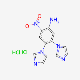 Cl.Cl.Nc1cc(-n2ccnc2)c(-n2ccnc2)cc1[N+](=O)[O-]